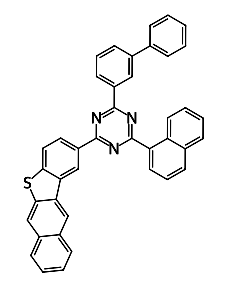 c1ccc(-c2cccc(-c3nc(-c4ccc5sc6cc7ccccc7cc6c5c4)nc(-c4cccc5ccccc45)n3)c2)cc1